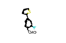 O=Cc1ccc(-c2cccs2)cc1F